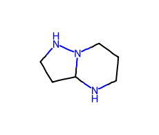 C1CNC2CCNN2C1